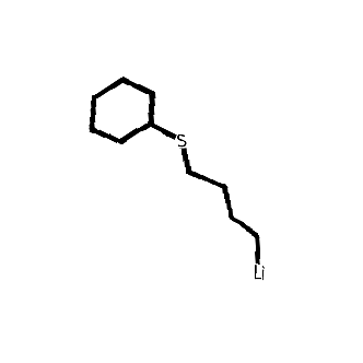 [Li][CH2]CCCSC1CCCCC1